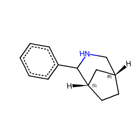 c1ccc(C2NC[C@@H]3CC[C@H]2C3)cc1